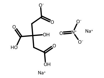 O=C([O-])CC(O)(CC(=O)O)C(=O)O.O=[N+]([O-])[O-].[Na+].[Na+]